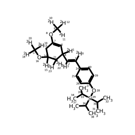 [2H]/C(=C(/[2H])C1([2H])C=C(OC([2H])([2H])[2H])CC([2H])(OC([2H])([2H])[2H])C1([2H])[2H])c1ccc(O[Si](C(C)C)(C(C)C)C(C)C)cc1